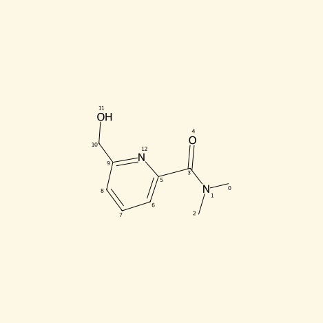 CN(C)C(=O)c1cccc(CO)n1